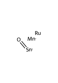 [Mn].[O]=[Sn].[Ru]